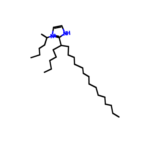 CCCCCCCCCCCCCCCC(CCCCC)c1[nH]cc[n+]1C(C)CCCC